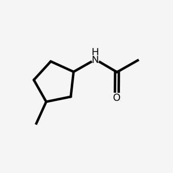 CC(=O)NC1CCC(C)C1